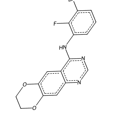 Fc1c(Br)cccc1Nc1ncnc2cc3c(cc12)OCCO3